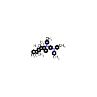 CC1=CC=C(N(c2ccc(C)cc2)c2ccc(N(c3ccc(C)cc3)c3cc4c(c5ccccc35)-c3cc5c(cc3C4(C)C)C3C=CC=CC3C5(C)C)cc2)CC1